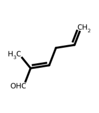 C=CC/C=C(\C)C=O